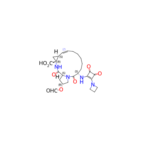 O=CO[C@@H]1C[C@H]2C(=O)N[C@]3(C(=O)O)C[C@H]3/C=C\CCCCC[C@H](Nc3c(N4CCC4)c(=O)c3=O)C(=O)N2C1